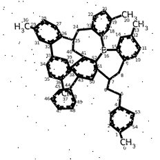 Cc1ccc(CCC2Cc3ccc(C)cc3B3c4cc(C)ccc4CC(c4ccc(C)cc4-c4ccc(C)cc4)Cc4cc(-c5ccccc5)cc2c43)cc1